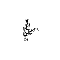 C#Cc1ccc2c(c1)-c1nnc(COC)n1Cc1c(-c3nc(C4CC4)no3)ncn1-2